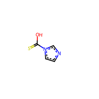 OC(=S)n1ccnc1